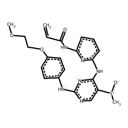 C=CC(=O)Nc1cccc(Nc2nc(Nc3ccc(OCCOC)cc3)ncc2[S+](C)[O-])n1